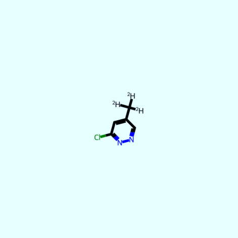 [2H]C([2H])([2H])c1cnnc(Cl)c1